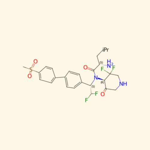 CC(C)C[C@H](N)C(=O)N([C@@H](c1ccc(-c2ccc(S(C)(=O)=O)cc2)cc1)C(F)F)[C@@H]1C(=O)CNCC1(F)F